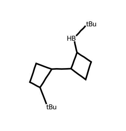 CC(C)(C)BC1CCC1C1CCC1C(C)(C)C